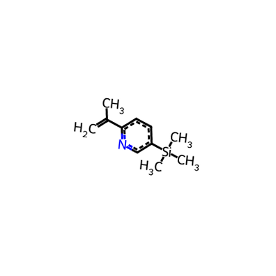 C=C(C)c1ccc([Si](C)(C)C)cn1